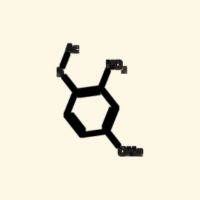 COc1ccc(SC(C)=O)c([N+](=O)[O-])c1